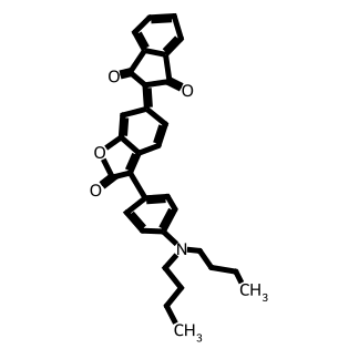 CCCCN(CCCC)c1ccc(C2=c3ccc(=C4C(=O)c5ccccc5C4=O)cc3OC2=O)cc1